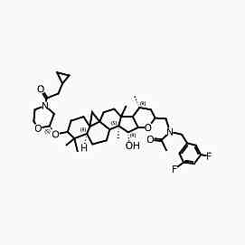 CC(=O)N(Cc1cc(F)cc(F)c1)CC1C[C@@H](C)C2C(O1)[C@H](O)[C@@]1(C)C3CC[C@H]4C(C)(C)C(O[C@H]5CN(C(=O)CC6CC6)CCO5)CCC45CC35CCC21C